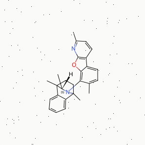 Cc1ccc2c(n1)oc1c(N3[C@@H](C)C4(C)CCC3(C)c3ccccc34)c(C)ccc12